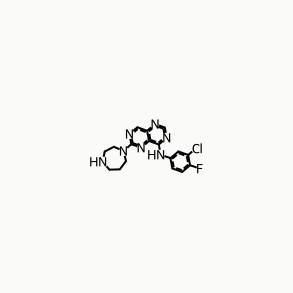 Fc1ccc(Nc2ncnc3cnc(N4CCCNCC4)nc23)cc1Cl